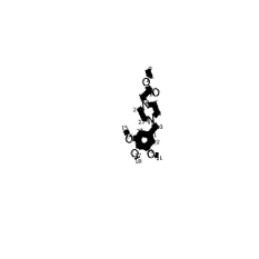 CCOC(=O)CN1CCN(Cc2cc(OC)c(OC)c(OC)c2)CC1